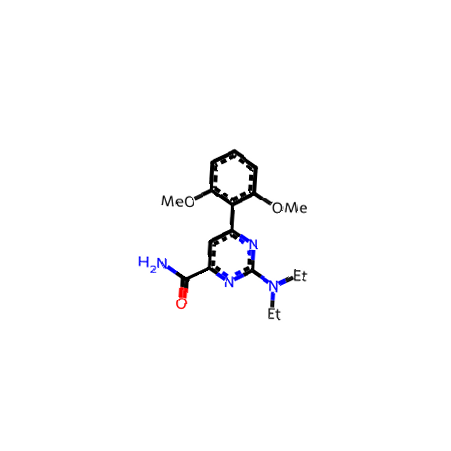 CCN(CC)c1nc(C(N)=O)cc(-c2c(OC)cccc2OC)n1